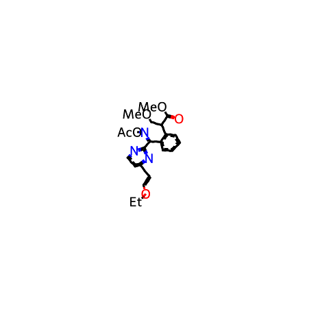 CCOC=Cc1ccnc(C(=NOC(C)=O)c2ccccc2C(COC)C(=O)OC)n1